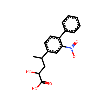 CC(CC(O)C(=O)O)c1ccc(-c2ccccc2)c([N+](=O)[O-])c1